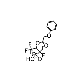 O=C(COc1ccccc1)OC(C(F)(F)F)C(F)(F)S(=O)(=O)O